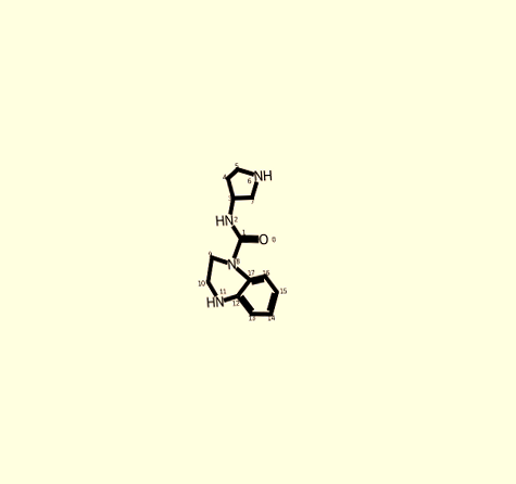 O=C(NC1CCNC1)N1CCNc2ccccc21